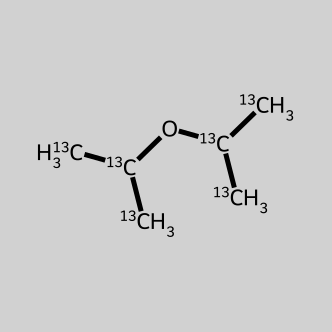 [13CH3][13CH]([13CH3])O[13CH]([13CH3])[13CH3]